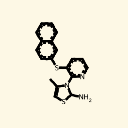 CC1=CSC(N)N1c1ncccc1Sc1ccc2ccccc2c1